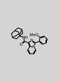 COc1ccccc1-c1nc(C(=O)NC23CC4CC(CC(C4)C2)C3)c2ccccn12